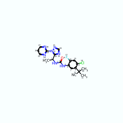 CC(NC(=O)Nc1cc(C(C)(C)C#N)c(Cl)cc1F)c1ncnn1-c1ncccn1